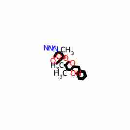 CC1C(OC2C3COC(O3)C(N=[N+]=[N-])C2C)OC(Cc2ccccc2)C(O)C1C